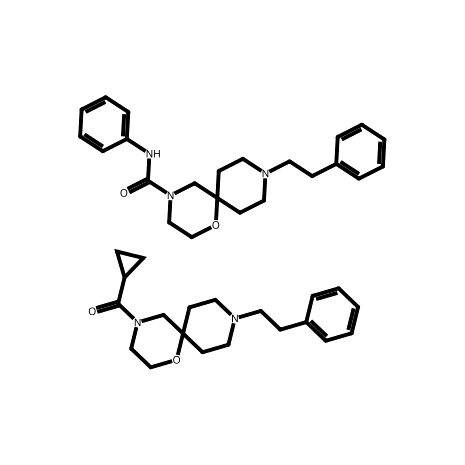 O=C(C1CC1)N1CCOC2(CCN(CCc3ccccc3)CC2)C1.O=C(Nc1ccccc1)N1CCOC2(CCN(CCc3ccccc3)CC2)C1